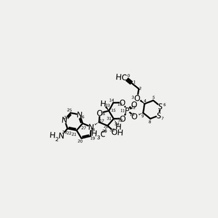 C#CCO[C@H]1CSSC[C@@H]1OP1(=O)OC[C@H]2O[C@@H](n3ccc4c(N)ncnc43)[C@](C)(O)[C@@H]2O1